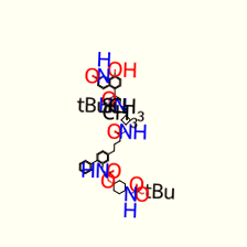 CC(C)(C)OC(=O)N[C@H]1CC[C@H](OC(=O)Nc2cc(CCCC(=O)N[C@H]3C[C@H](CNCC(O[Si](C)(C)C(C)(C)C)c4ccc(O)c5[nH]c(=O)ccc45)C3)ccc2-c2ccccc2)CC1